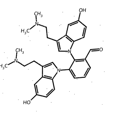 CN(C)CCc1cn(-c2cccc(C=O)c2-n2cc(CCN(C)C)c3cc(O)ccc32)c2ccc(O)cc12